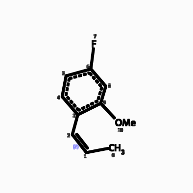 C/C=C\c1ccc(F)cc1OC